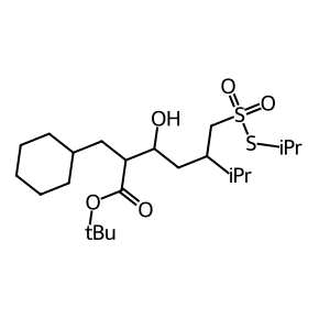 CC(C)SS(=O)(=O)CC(CC(O)C(CC1CCCCC1)C(=O)OC(C)(C)C)C(C)C